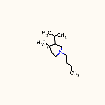 CCCCN1CC[C@@H](C)C(C(C)C)C1